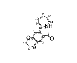 O=Cc1cc2c(cc1C1=CC=CC=CN1)OCCS2